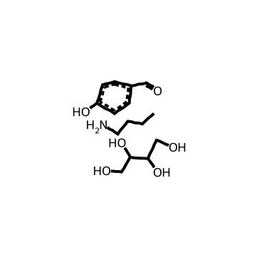 CCCCN.O=Cc1ccc(O)cc1.OCC(O)C(O)CO